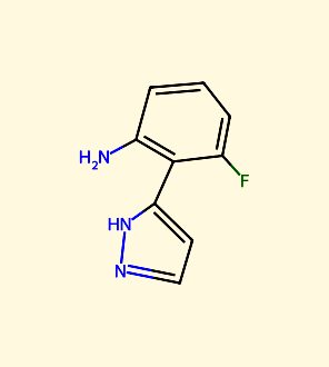 Nc1cccc(F)c1-c1ccn[nH]1